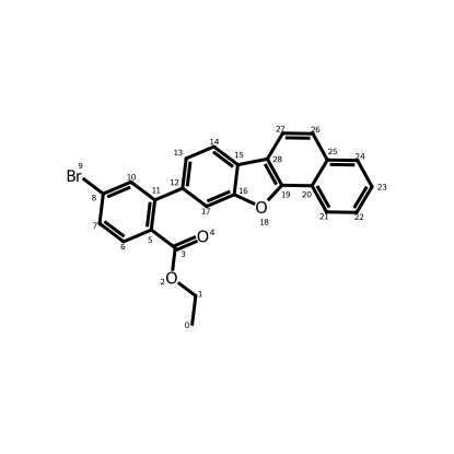 CCOC(=O)c1ccc(Br)cc1-c1ccc2c(c1)oc1c3ccccc3ccc21